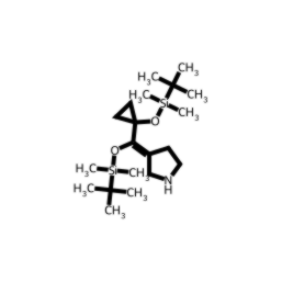 CC(C)(C)[Si](C)(C)OC(=C1CCNC1)C1(O[Si](C)(C)C(C)(C)C)CC1